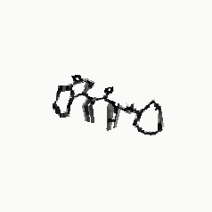 O=C(NSC1CCCCC1)Nc1noc2ccccc12